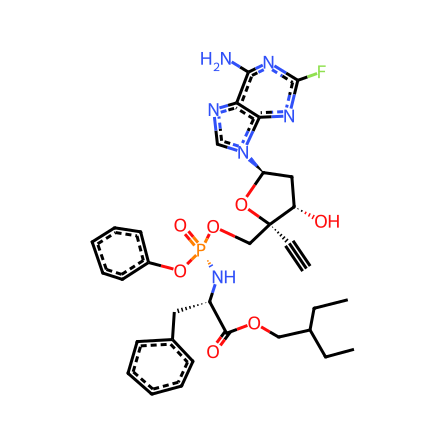 C#C[C@]1(CO[P@@](=O)(N[C@@H](Cc2ccccc2)C(=O)OCC(CC)CC)Oc2ccccc2)O[C@@H](n2cnc3c(N)nc(F)nc32)C[C@@H]1O